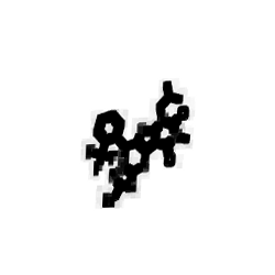 CC(C)Cn1c(=O)n(C)c(=O)c2c(Sc3nc(Br)n[nH]3)c(Cc3ccccc3C(F)(F)F)sc21